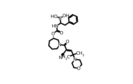 CC(C)(C=C(C#N)C(=O)N1CCCC[C@H](OC(=O)NC(Cc2ccccc2)B(O)O)C1)N1CCOCC1